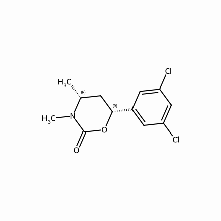 C[C@@H]1C[C@H](c2cc(Cl)cc(Cl)c2)OC(=O)N1C